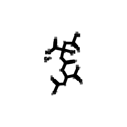 O=C([O-])CC(OC(=O)CC(O)(CC(=O)O)C(=O)O)C(=O)[O-].[Ca+2]